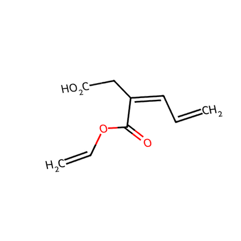 C=CC=C(CC(=O)O)C(=O)OC=C